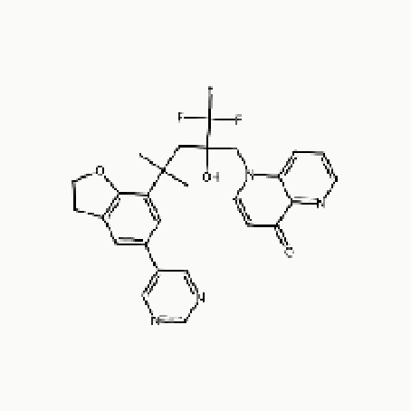 CC(C)(CC(O)(Cn1ccc(=O)c2ncccc21)C(F)(F)F)c1cc(-c2cncnc2)cc2c1OCC2